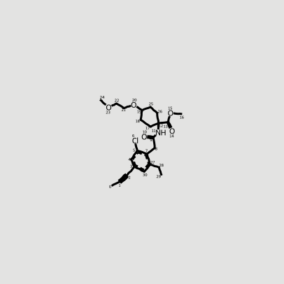 CC#Cc1cc(Cl)c(CC(=O)NC2(C(=O)OC)CCC(OCCOC)CC2)c(CC)c1